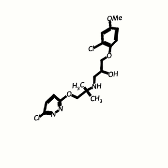 COc1ccc(OCC(O)CNC(C)(C)COc2ccc(Cl)nn2)c(Cl)c1